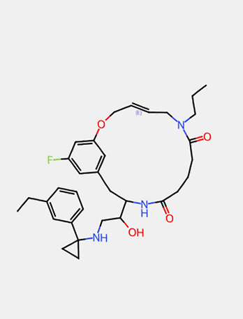 CCCN1C/C=C/COc2cc(F)cc(c2)CC(C(O)CNC2(c3cccc(CC)c3)CC2)NC(=O)CCCC1=O